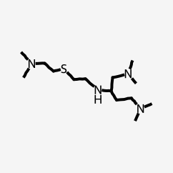 CN(C)CCSCCNC(CCN(C)C)CN(C)C